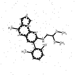 COC(CNc1nc2c(cc1-c1c(C)cccc1Cl)nc(N)c1cncn12)OC